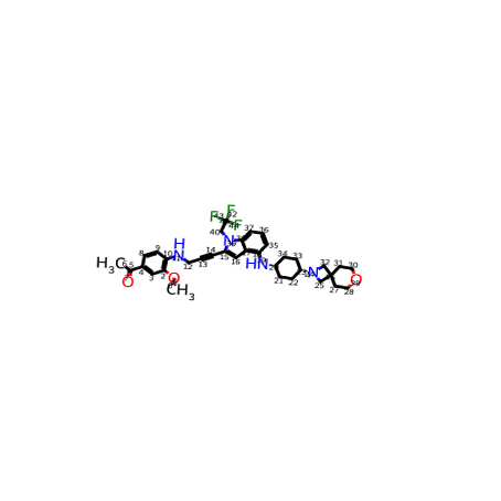 COc1cc(C(C)=O)ccc1NCC#Cc1cc2c(N[C@H]3CC[C@@H](N4CC5(CCOCC5)C4)CC3)cccc2n1CC(F)(F)F